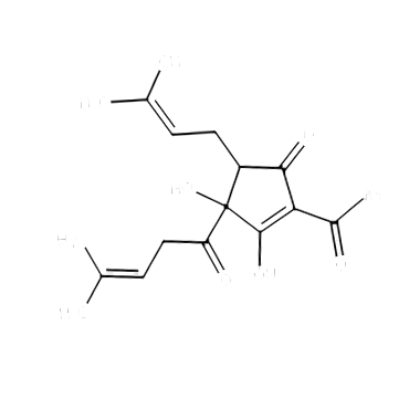 CC(C)=CCC(=O)C1(O)C(O)=C(C(=O)C(C)C)C(=O)C1CC=C(C)C